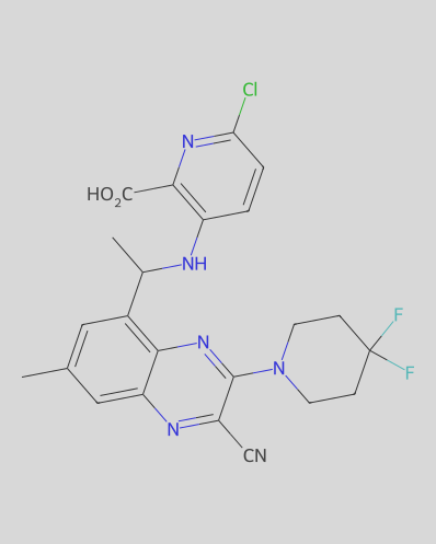 Cc1cc(C(C)Nc2ccc(Cl)nc2C(=O)O)c2nc(N3CCC(F)(F)CC3)c(C#N)nc2c1